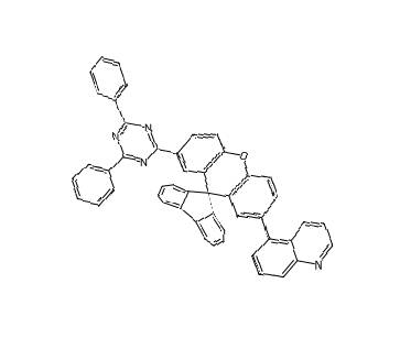 c1ccc(-c2nc(-c3ccccc3)nc(-c3ccc4c(c3)C3(c5cc(-c6cccc7ncccc67)ccc5O4)c4ccccc4-c4ccccc43)n2)cc1